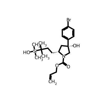 C=CCOC(=O)N1C[C@](O)(c2ccc(Br)cc2)C[C@H]1CCC(C)(C)[Si](C)(C)O